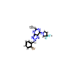 CC(C)(C)c1nc(N2CCC(F)(F)C2)c2nn(Cc3ccccc3Br)nc2n1